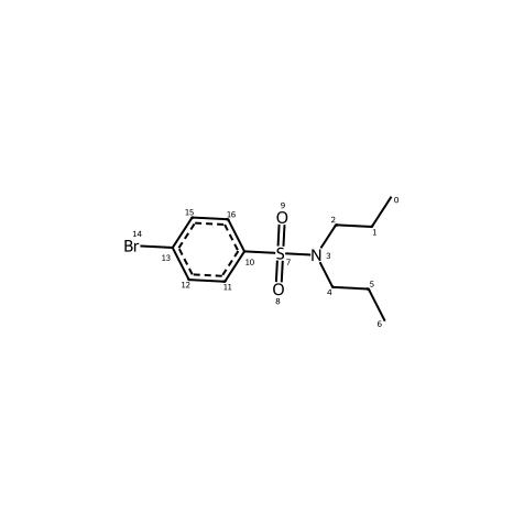 CCCN(CCC)S(=O)(=O)c1ccc(Br)cc1